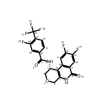 O=C(N[C@H]1COCc2[nH]c(=O)c3cc(F)c(F)cc3c21)c1ccc(C(F)(F)F)c(F)c1